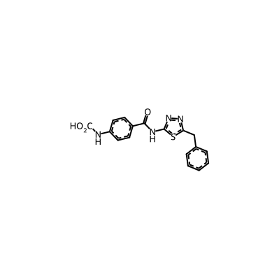 O=C(O)Nc1ccc(C(=O)Nc2nnc(Cc3ccccc3)s2)cc1